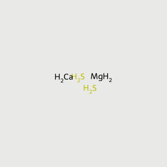 S.S.[CaH2].[MgH2]